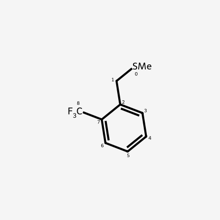 [CH2]SCc1ccccc1C(F)(F)F